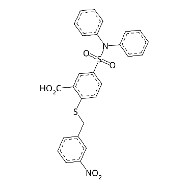 O=C(O)c1cc(S(=O)(=O)N(c2ccccc2)c2ccccc2)ccc1SCc1cccc([N+](=O)[O-])c1